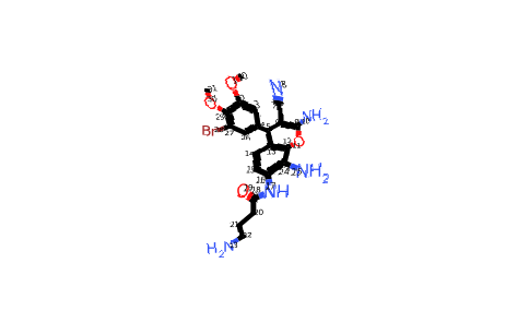 COc1cc(C2C(C#N)=C(N)Oc3c2ccc(NC(=O)CCCN)c3N)cc(Br)c1OC